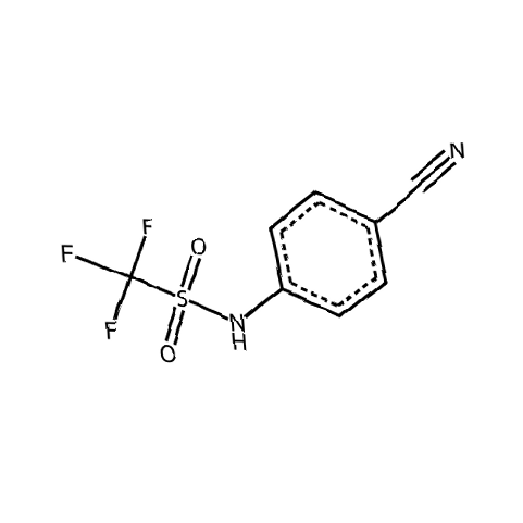 N#Cc1ccc(NS(=O)(=O)C(F)(F)F)cc1